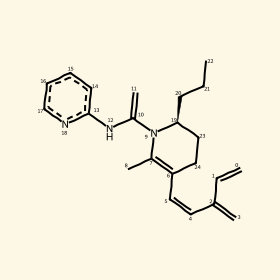 C=CC(=C)/C=C\C1=C(C)N(C(=C)Nc2ccccn2)[C@@H](CCC)CC1